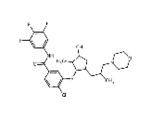 CC(CC1CC(C)C(C)C1Sc1cc(C(=O)Nc2cc(F)c(F)c(F)c2)ccc1Cl)CN1CCOCC1